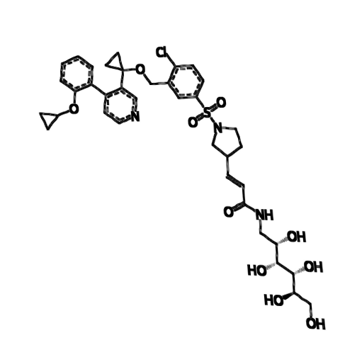 O=C(/C=C/C1CCN(S(=O)(=O)c2ccc(Cl)c(COC3(c4cnccc4-c4ccccc4OC4CC4)CC3)c2)C1)NC[C@H](O)[C@@H](O)[C@H](O)[C@H](O)CO